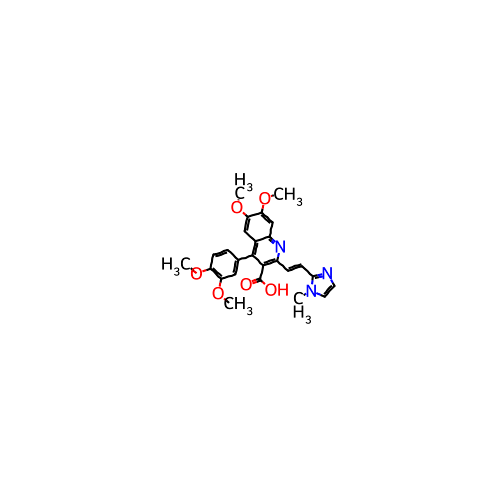 COc1ccc(-c2c(C(=O)O)c(C=Cc3nccn3C)nc3cc(OC)c(OC)cc23)cc1OC